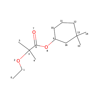 CCOC(C)(C)C(=O)OC1CCCC(C)(C)C1